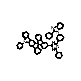 c1ccc(-c2nc(-c3cccc(-n4c(-c5ccccc5)nc5ccccc54)c3)nc(-c3ccc4c(c3)-c3ccccc3C43c4ccccc4-c4cc5c(cc43)c3ccccc3n5-c3ccccc3)n2)cc1